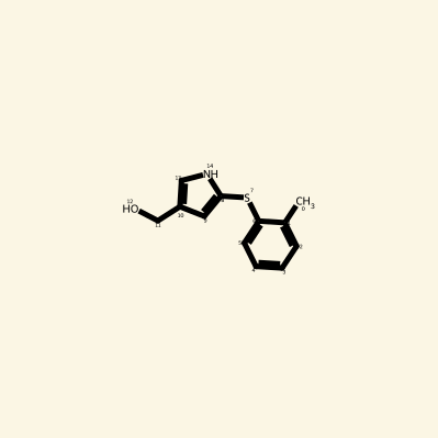 Cc1ccccc1Sc1cc(CO)c[nH]1